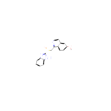 COc1ccc2c(C[S+]([O-])c3nc4ccccc4[nH]3)nccc2c1